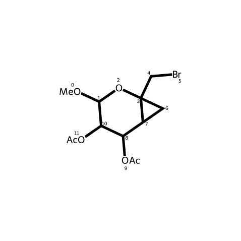 COC1OC2(CBr)CC2C(OC(C)=O)C1OC(C)=O